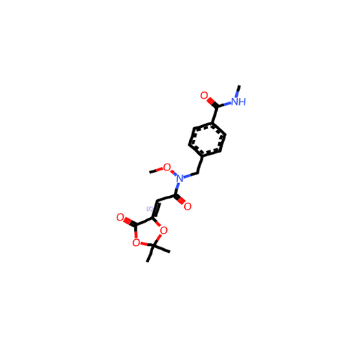 CNC(=O)c1ccc(CN(OC)C(=O)/C=C2\OC(C)(C)OC2=O)cc1